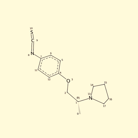 C[C@H](COc1ccc(N=C=S)cc1)N1CCCC1